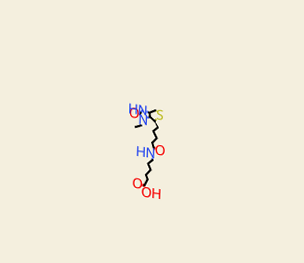 CCN1C(=O)NC2CS[C@@H](CCCCC(=O)NCCCCCC(=O)O)C21